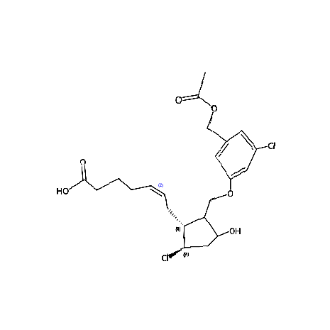 CC(=O)OCc1cc(Cl)cc(OCC2C(O)C[C@@H](Cl)[C@@H]2C/C=C\CCCC(=O)O)c1